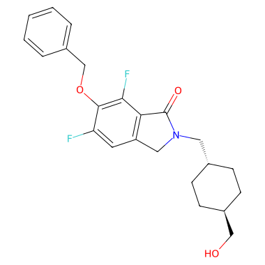 O=C1c2c(cc(F)c(OCc3ccccc3)c2F)CN1C[C@H]1CC[C@H](CO)CC1